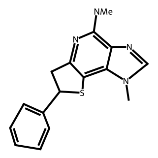 CNc1nc2c(c3c1ncn3C)SC(c1ccccc1)C2